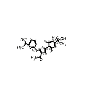 CC(C#N)c1cccc(Nc2sc(-c3c(F)cc(C(C)(C)O)cc3F)cc2C(N)=O)n1